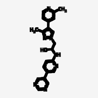 Cc1cc(-c2cn(CC(O)Nc3ccc(-c4cncnc4)cn3)nc2C)ccn1